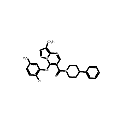 CCOC(=O)c1cnn2c(Nc3cc(C)ccc3Cl)c(C(=O)N3CCC(c4ccccc4)CC3)cnc12